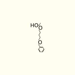 CC(O)OCCCCCOCc1ccccc1